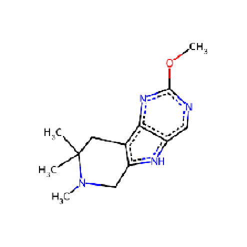 COc1ncc2[nH]c3c(c2n1)CC(C)(C)N(C)C3